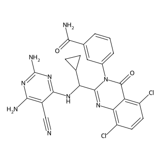 N#Cc1c(N)nc(N)nc1NC(c1nc2c(Cl)ccc(Cl)c2c(=O)n1-c1cccc(C(N)=O)c1)C1CC1